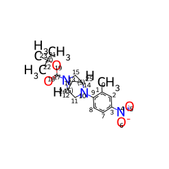 Cc1cc([N+](=O)[O-])ccc1N1C[C@@H]2C[C@H]1CN2C(=O)OC(C)(C)C